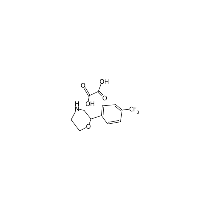 FC(F)(F)c1ccc(C2CNCCO2)cc1.O=C(O)C(=O)O